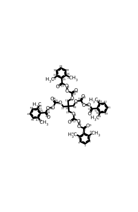 Cc1cccc(C)c1C(=O)OOC(=O)OCC(COC(=O)OOC(=O)c1c(C)cccc1C)(COC(=O)OOC(=O)c1c(C)cccc1C)COC(=O)OOC(=O)c1c(C)cccc1C